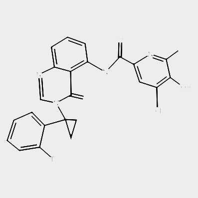 O=C(Nc1cccc2ncn(C3(c4ccccc4F)CC3)c(=O)c12)c1cc(Cl)c(O)c(Cl)n1